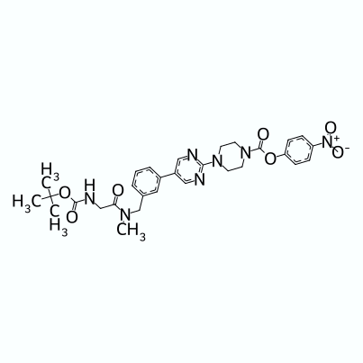 CN(Cc1cccc(-c2cnc(N3CCN(C(=O)Oc4ccc([N+](=O)[O-])cc4)CC3)nc2)c1)C(=O)CNC(=O)OC(C)(C)C